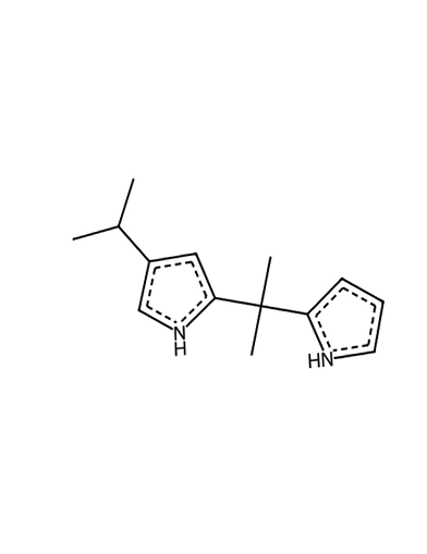 CC(C)c1c[nH]c(C(C)(C)c2ccc[nH]2)c1